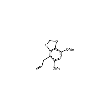 C=CCc1c(OC)cc(OC)c2c1OCO2